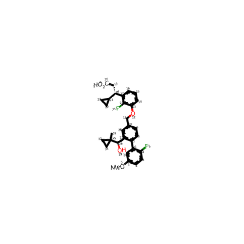 COc1ccc(F)c(-c2ccc(COc3cccc([C@@H](CC(=O)O)C4CC4)c3F)cc2[C@@H](O)C2(C)CC2)c1